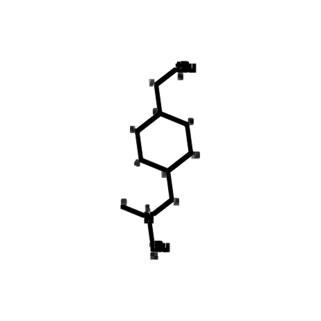 CN(CC1CCC(CC(C)(C)C)CC1)C(C)(C)C